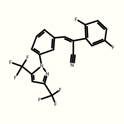 N#CC(=Cc1cccc(-n2nc(C(F)(F)F)cc2C(F)(F)F)c1)c1cc(F)ccc1F